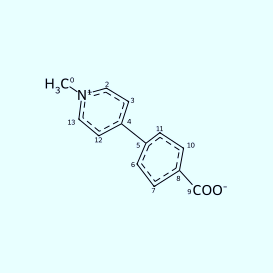 C[n+]1ccc(-c2ccc(C(=O)[O-])cc2)cc1